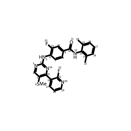 CSc1cnc(Nc2ccc(C(=O)Nc3c(C)cccc3C)cc2F)nc1-c1cccnc1F